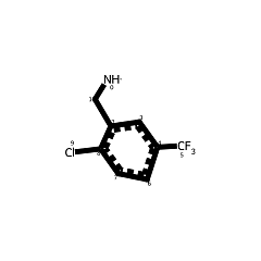 [NH]Cc1cc(C(F)(F)F)ccc1Cl